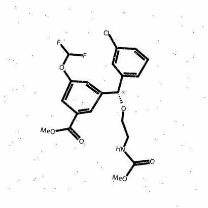 COC(=O)NCCO[C@@H](c1cccc(Cl)c1)c1cc(OC(F)F)cc(C(=O)OC)c1